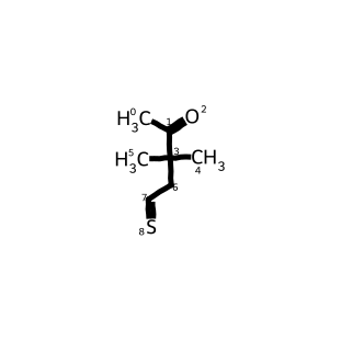 CC(=O)C(C)(C)CC=S